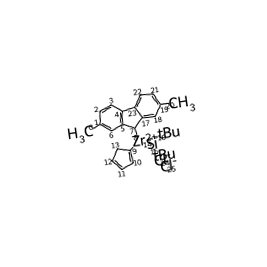 Cc1ccc2c(c1)[CH]([Zr+2]([C]1=CC=CC1)=[Si](C(C)(C)C)C(C)(C)C)c1cc(C)ccc1-2.[Cl-].[Cl-]